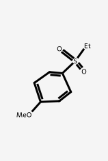 [CH2]CS(=O)(=O)c1ccc(OC)cc1